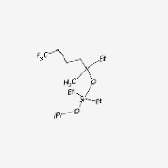 CCC(C)(CCCC(F)(F)F)O[Si](CC)(CC)OC(C)C